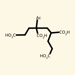 CC(=O)C(CCC(=O)O)(CC(CCC(=O)O)C(=O)O)C(=O)O